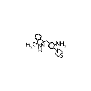 C=C1NN=C(Cc2ccc(N3CCSCC3)c(N)c2)c2ccccc21